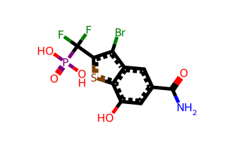 NC(=O)c1cc(O)c2sc(C(F)(F)P(=O)(O)O)c(Br)c2c1